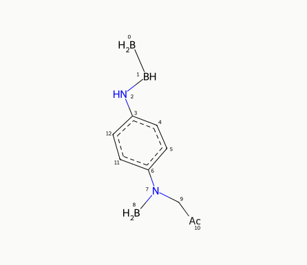 BBNc1ccc(N(B)CC(C)=O)cc1